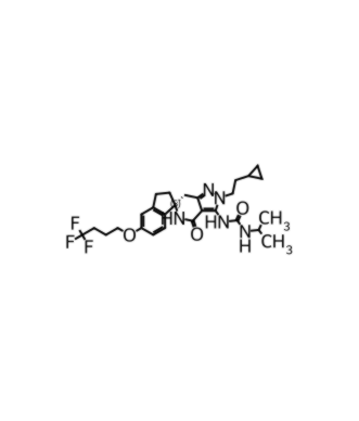 CC(C)NC(=O)Nc1c2c(nn1CCC1CC1)C[C@]1(CCc3cc(OCCCC(F)(F)F)ccc31)NC2=O